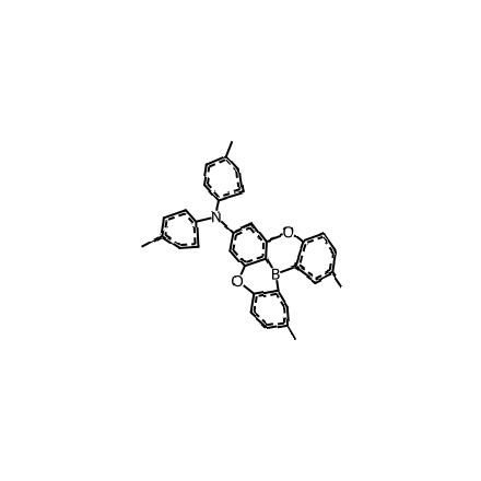 Cc1ccc(N(c2ccc(C)cc2)c2cc3c4c(c2)Oc2ccc(C)cc2B4c2cc(C)ccc2O3)cc1